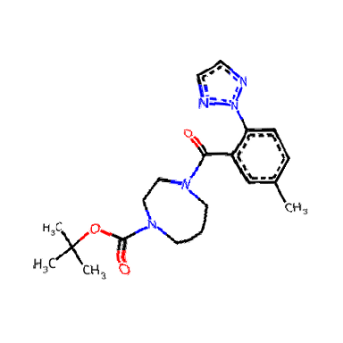 Cc1ccc(-n2nccn2)c(C(=O)N2CCCN(C(=O)OC(C)(C)C)CC2)c1